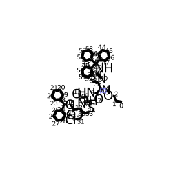 C=CCO/N=C(\C(=O)NC1C(=O)N2C(C(=O)OC(c3ccccc3)c3ccccc3)=C(CCl)CS[C@@H]12)c1csc(NC(c2ccccc2)(c2ccccc2)c2ccccc2)n1